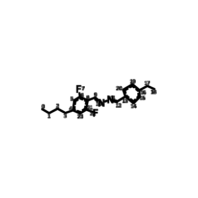 CCCCc1cc(F)c(C=NN=Cc2ccc(CC)cc2)c(F)c1